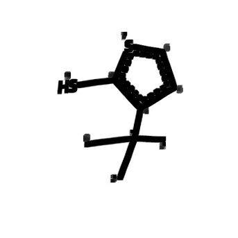 CC(C)(C)c1ccsc1S